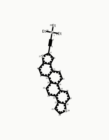 CC[Si](C#Cc1cc2c(ccc3c2ccc2c4ccc5sccc5c4ccc32)s1)(CC)CC